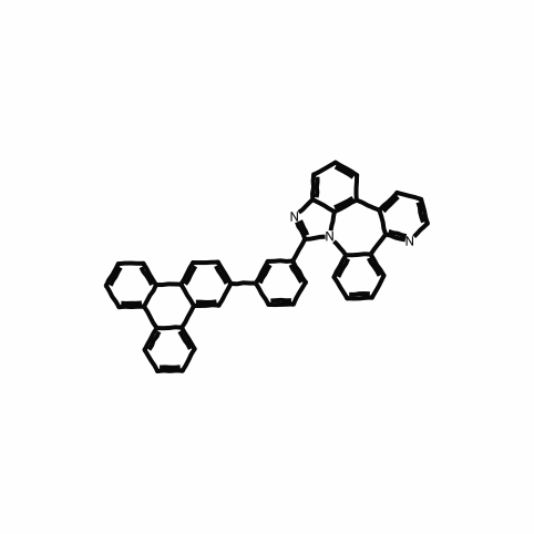 c1cc(-c2ccc3c4ccccc4c4ccccc4c3c2)cc(-c2nc3cccc4c3n2-c2ccccc2-c2ncccc2-4)c1